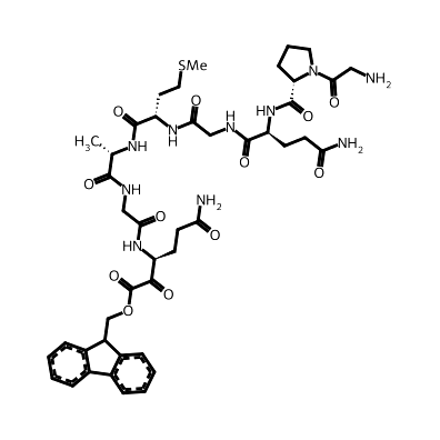 CSCC[C@H](NC(=O)CNC(=O)[C@H](CCC(N)=O)NC(=O)[C@@H]1CCCN1C(=O)CN)C(=O)N[C@@H](C)C(=O)NCC(=O)N[C@@H](CCC(N)=O)C(=O)C(=O)OCC1c2ccccc2-c2ccccc21